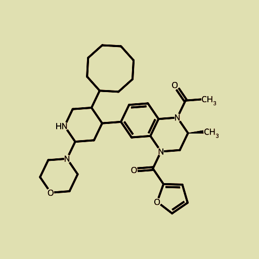 CC(=O)N1c2ccc(C3CC(N4CCOCC4)NCC3C3CCCCCCC3)cc2N(C(=O)c2ccco2)C[C@@H]1C